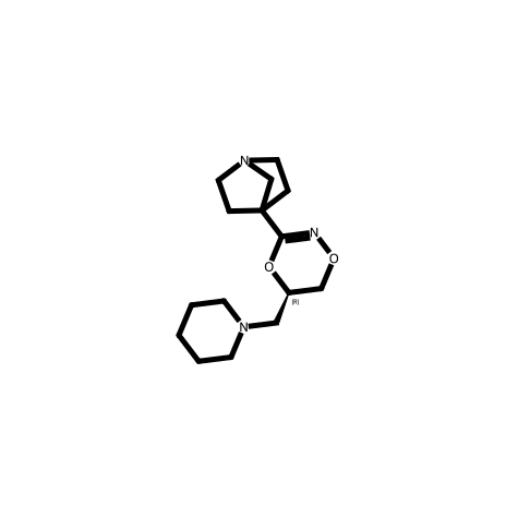 C1CCN(C[C@@H]2CON=C(C34CCN(CC3)C4)O2)CC1